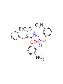 CCOC(=O)CN(CP(=O)(Oc1cccc([N+](=O)[O-])c1)Oc1cccc([N+](=O)[O-])c1)C(=O)SCc1ccccc1